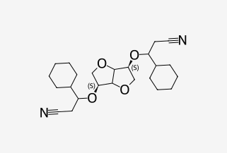 N#CCC(O[C@H]1COC2C1OC[C@@H]2OC(CC#N)C1CCCCC1)C1CCCCC1